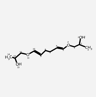 CC(O)CO/C=C/CC/C=C/OCC(C)O